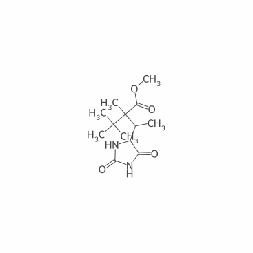 COC(=O)C(C)(C(C)C1NC(=O)NC1=O)C(C)(C)C